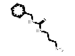 NCCCNC(=S)NCc1ccccc1